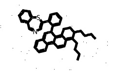 CCCCC1=c2ccc3c(c2CCC1CCCC)C(c1ccccc1C1=CN=Cc2ccccc2S1)C=c1ccccc1=3